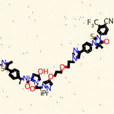 Cc1ncsc1-c1ccc([C@H](C)NC(=O)[C@@H]2C[C@@H](O)CN2C(=O)[C@@H](C(C)C)n2cc(OCCCOCCCn3cnc(-c4ccc(N5C(=S)N(c6ccc(C#N)c(C(F)(F)F)c6)C(=O)C5(C)C)cc4)c3)cn2)cc1